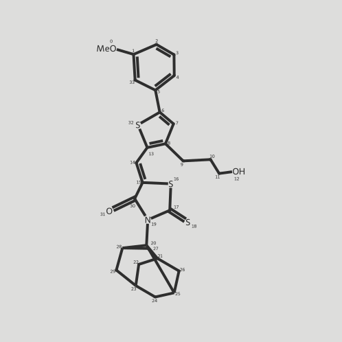 COc1cccc(-c2cc(CCCO)c(/C=C3\SC(=S)N(C4C5CC6CC(C5)CC4C6)C3=O)s2)c1